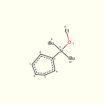 CCO[Si](c1ccccc1)(C(C)CC)C(C)CC